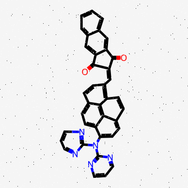 O=C1C(=Cc2ccc3ccc4c(N(c5ncccn5)c5ncccn5)ccc5ccc2c3c54)C(=O)c2cc3ccccc3cc21